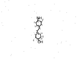 C[C@@H]1CN(CCN2CCC(N)CC2)C[C@H](C)[C@H]1O